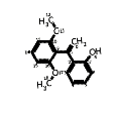 C=C(c1ccccc1O)c1c(OC)cccc1OC